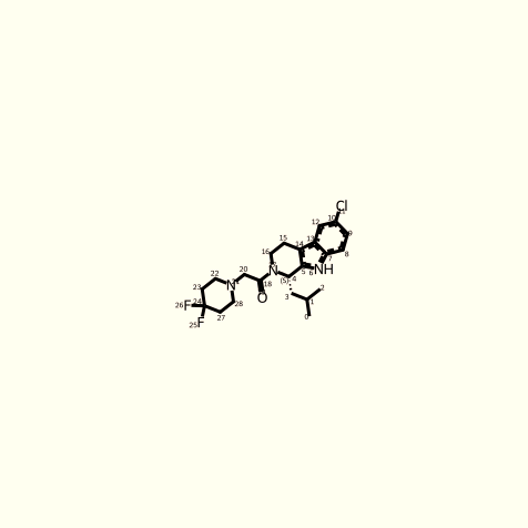 CC(C)C[C@H]1c2[nH]c3ccc(Cl)cc3c2CCN1C(=O)CN1CCC(F)(F)CC1